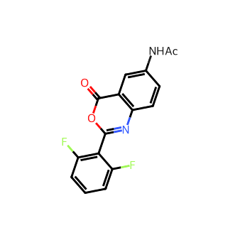 CC(=O)Nc1ccc2nc(-c3c(F)cccc3F)oc(=O)c2c1